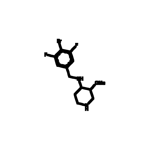 COC1CNCCC1NCc1cc(F)c(Br)c(F)c1